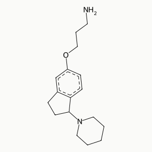 NCCCOc1ccc2c(c1)CCC2N1CCCCC1